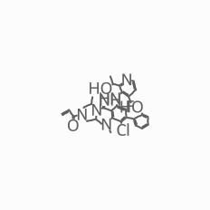 C=CC(=O)N1CC(C)N2C(=N)c3c(Nc4c(C)ccnc4C(C)O)c(F)c(-c4ccccc4O)c(Cl)c3N(C)CC2C1